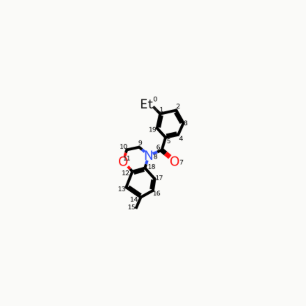 CCc1cccc(C(=O)N2CCOc3cc(C)ccc32)c1